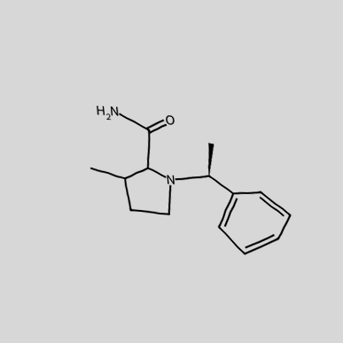 CC1CCN([C@@H](C)c2ccccc2)C1C(N)=O